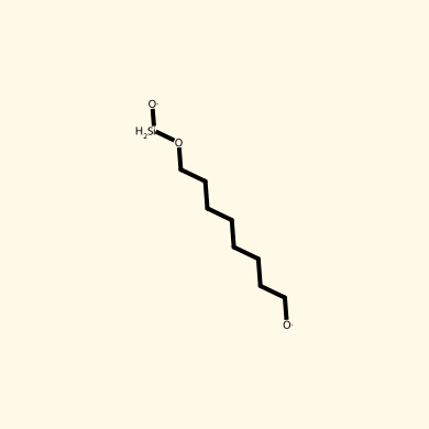 [O]CCCCCCCCO[SiH2][O]